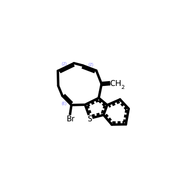 C=C1/C=C\C=C/C/C=C(/Br)c2sc3ccccc3c21